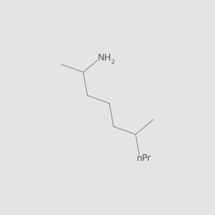 CCCC(C)CCCC(C)N